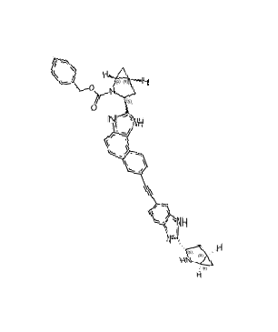 O=C(OCc1ccccc1)N1[C@@H]2C[C@@H]2C[C@H]1c1nc2ccc3cc(C#Cc4ccc5nc([C@@H]6C[C@H]7C[C@H]7N6)[nH]c5c4)ccc3c2[nH]1